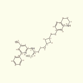 CC(C)(C)c1cc(N[C@@H](CCOC2CC(CCc3ccc4c(n3)NCCC4)C2)C(=O)O)nc(-c2ccccc2)n1